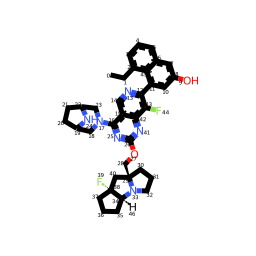 CCc1cccc2cc(O)cc(-c3ncc4c(N5CC6CCC(C5)N6)nc(OC[C@@]56CCCN5[C@H]5CCC[C@@]5(F)C6)nc4c3F)c12